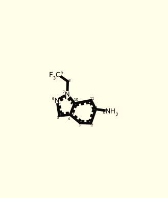 Nc1ccc2cnn(CC(F)(F)F)c2c1